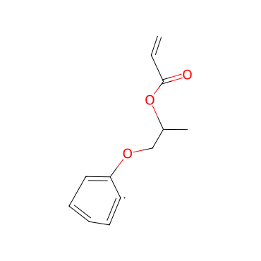 C=CC(=O)OC(C)COc1[c]cccc1